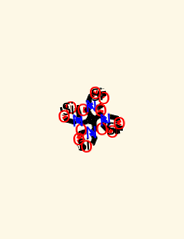 C[Si]1(C)OCCN(C(=O)C2C(C(=O)N3CCO[Si](C)(C)OCC3)C(C(=O)N3CCO[Si](C)(C)OCC3)C2C(=O)N2CCO[Si](C)(C)OCC2)CCO1